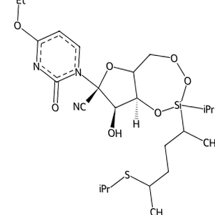 CCOc1ccn([C@]2(C#N)OC3COO[Si](C(C)C)(C(C)CCC(C)SC(C)C)O[C@H]3[C@H]2O)c(=O)n1